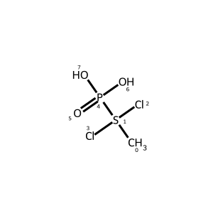 CS(Cl)(Cl)P(=O)(O)O